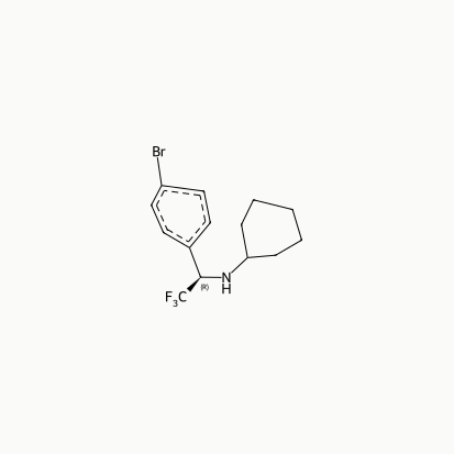 FC(F)(F)[C@H](NC1CCCCC1)c1ccc(Br)cc1